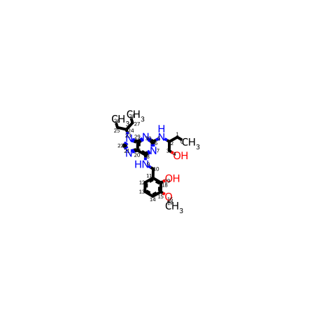 CCC(CO)Nc1nc(NCc2cccc(OC)c2O)c2ncn(C(CC)CC)c2n1